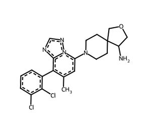 Cc1cc(N2CCC3(CC2)COCC3N)n2ncnc2c1-c1cccc(Cl)c1Cl